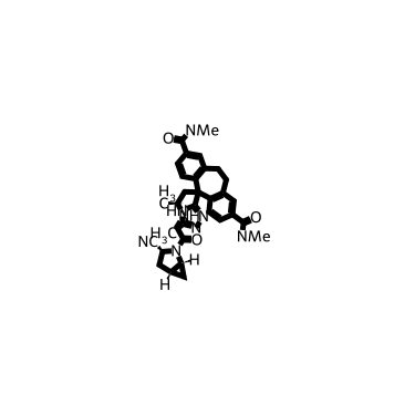 CNC(=O)c1ccc2c(c1)CCc1cc(C(=O)NC)ccc1C2(C[C@H](C)NCC(=O)N1[C@H](C#N)C[C@@H]2C[C@@H]21)c1nnc(C)[nH]1